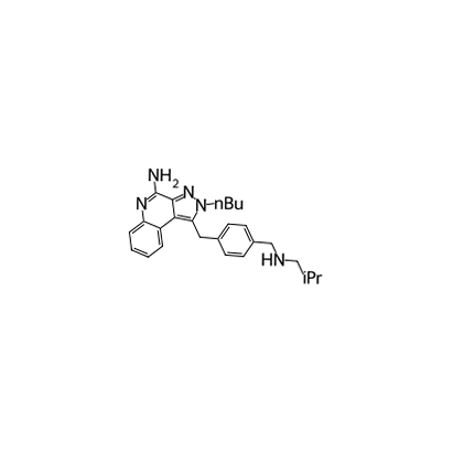 CCCCn1nc2c(N)nc3ccccc3c2c1Cc1ccc(CNCC(C)C)cc1